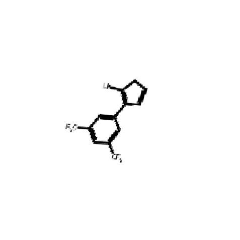 [Li][C]1=C(c2cc(C(F)(F)F)cc(C(F)(F)F)c2)C=CC1